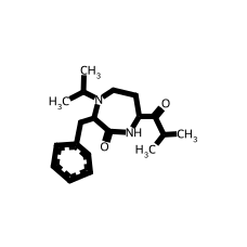 CC(C)C(=O)C1CCN(C(C)C)C(Cc2ccccc2)C(=O)N1